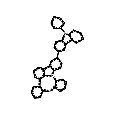 c1ccc(-n2c3ccccc3c3cc(-c4ccc5c(c4)c4cccc6c7ccccc7sc7ccccc7n5c64)ccc32)cc1